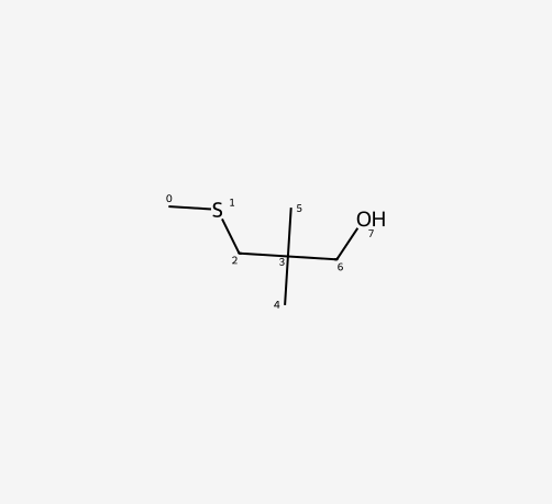 CSCC(C)(C)CO